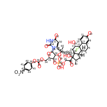 C[C@@H]1C[C@H]2[C@@H]3CCC4=CC(=O)C=C[C@]4(C)[C@@]3(F)[C@@H](O)C[C@]2(C)[C@@]1(O)C(=O)COP(=O)(O)OC1[C@@H](COC(=O)Oc2ccc([N+](=O)[O-])cc2)O[C@@H](n2ccc(=O)[nH]c2=O)[C@H]1O[Si](C)(C)C(C)(C)C